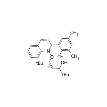 Cc1cc(C)c(C)c(C2C=Cc3ccccc3N2O/C(=C\C(O)C(C)(C)C)C(C)(C)C)c1